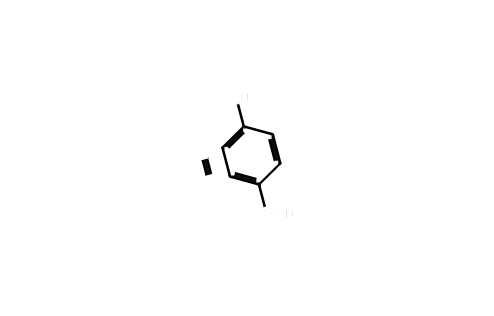 Cc1ccc(S(=O)(=O)O)cc1.[O]=[Fe]